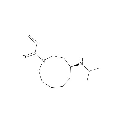 C=CC(=O)N1CCCCC[C@H](NC(C)C)CC1